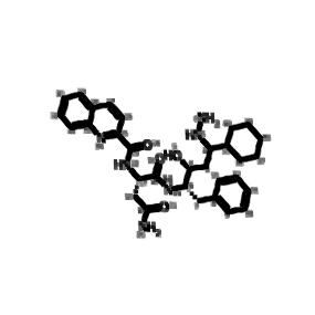 NNC(C[C@H](O)[C@H](Cc1ccccc1)NC(=O)[C@H](CC(N)=O)NC(=O)c1ccc2ccccc2n1)C1CCCCC1